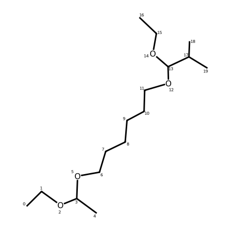 CCOC(C)OCCCCCCOC(OCC)C(C)C